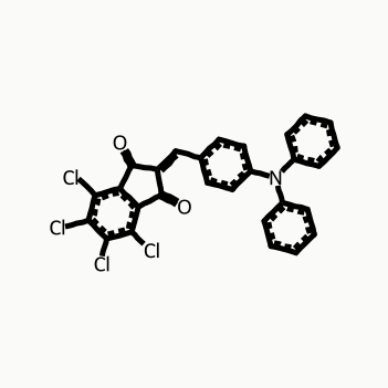 O=C1C(=Cc2ccc(N(c3ccccc3)c3ccccc3)cc2)C(=O)c2c(Cl)c(Cl)c(Cl)c(Cl)c21